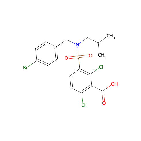 CC(C)CN(Cc1ccc(Br)cc1)S(=O)(=O)c1ccc(Cl)c(C(=O)O)c1Cl